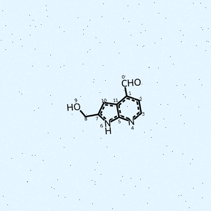 O=Cc1ccnc2[nH]c(CO)cc12